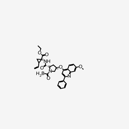 BC(=O)N1C[C@H](Oc2cc(-c3ccccc3)nc3cc(OC)ccc23)C[C@H]1C(=O)N[C@@]1(C(=O)OCC)CC1C=C